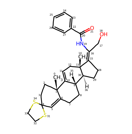 C[C@]12CCC3(C=C1CC[C@@H]1C2=CC[C@]2(C)C(=C(CO)NC(=O)c4ccccc4)CC[C@@H]12)SCCS3